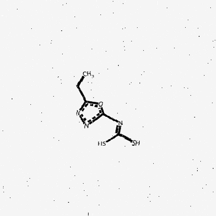 CCc1nnc(N=C(S)S)o1